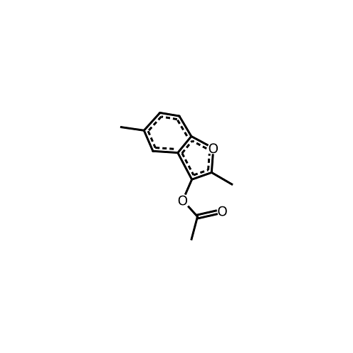 CC(=O)Oc1c(C)oc2ccc(C)cc12